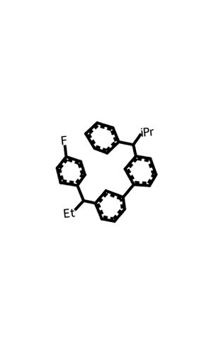 CCC(c1ccc(F)cc1)c1cccc(-c2cccc(C(c3ccccc3)C(C)C)c2)c1